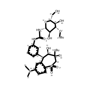 CCCCO[C@@H]1[C@@H](O)[C@H](NC(=O)Nc2cccc([C@@H]3c4cc(N(C)C)ccc4S(=O)(=O)C[C@@](CC)(CCCC)[C@@H]3O)c2)O[C@H](CO)[C@H]1O